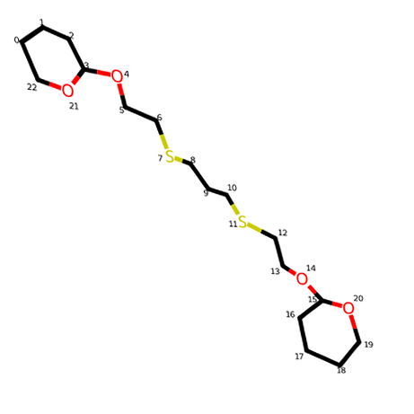 C1CCC(OCCSCCCSCCOC2CCCCO2)OC1